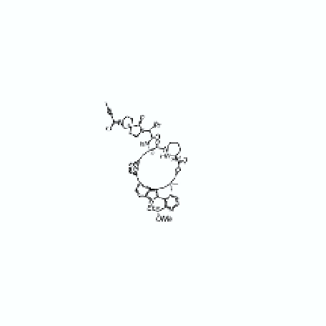 CC#CC(=O)N1CC[C@@]2(CCN(C(C(=O)N[C@H]3Cc4nc(cs4)-c4ccc5c(c4)c(c(-c4cccnc4[C@H](C)OC)n5CC)CC(C)(C)COC(=O)[C@@H]4CCCN(N4)C3=O)C(C)C)C2=O)C1